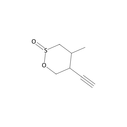 C#CC1COS(=O)CC1C